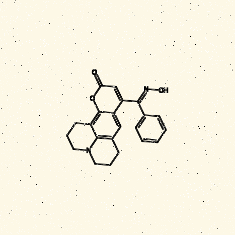 O=c1cc(/C(=N/O)c2ccccc2)c2cc3c4c(c2o1)CCCN4CCC3